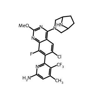 COc1nc(N2CC3CCC(C2)N3)c2cc(Cl)c(-c3nc(N)cc(C)c3C(F)(F)F)c(F)c2n1